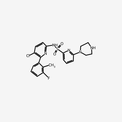 Cc1c(F)cccc1-c1nc(NS(=O)(=O)c2cccc(N3CCNCC3)n2)ccc1Cl